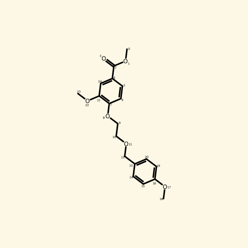 COC(=O)c1ccc(OCCOCc2ccc(OC)cc2)c(OC)c1